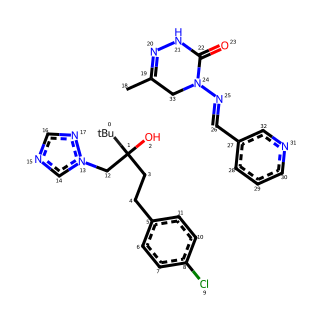 CC(C)(C)C(O)(CCc1ccc(Cl)cc1)Cn1cncn1.CC1=NNC(=O)N(/N=C/c2cccnc2)C1